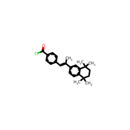 CC(=Cc1ccc(C(=O)Cl)cc1)c1ccc2c(c1)C(C)(C)CCC2(C)C